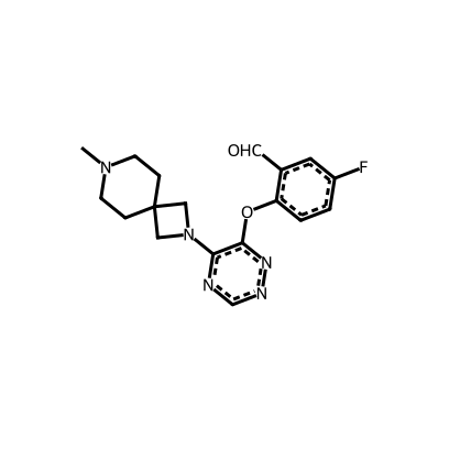 CN1CCC2(CC1)CN(c1ncnnc1Oc1ccc(F)cc1C=O)C2